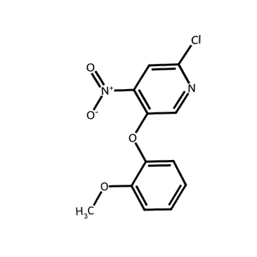 COc1ccccc1Oc1cnc(Cl)cc1[N+](=O)[O-]